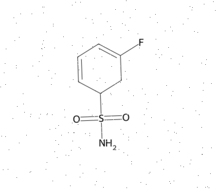 NS(=O)(=O)C1C=CC=C(F)C1